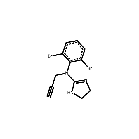 C#CCN(C1=NCCN1)c1c(Br)cccc1Br